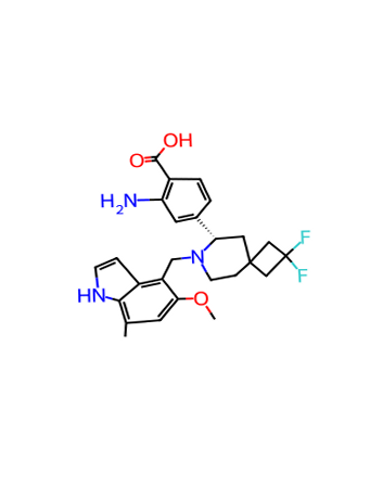 COc1cc(C)c2[nH]ccc2c1CN1CCC2(C[C@H]1c1ccc(C(=O)O)c(N)c1)CC(F)(F)C2